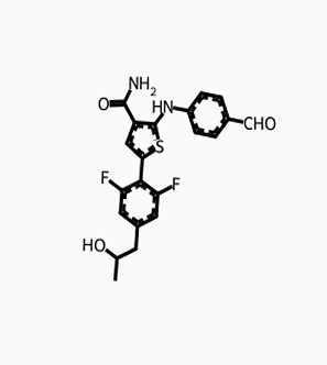 CC(O)Cc1cc(F)c(-c2cc(C(N)=O)c(Nc3ccc(C=O)cc3)s2)c(F)c1